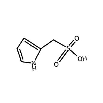 O=S(=O)(O)Cc1ccc[nH]1